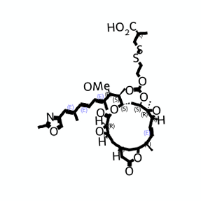 CO[C@@H](/C(C)=C/C=C/C(C)=C/c1coc(C)n1)[C@@H](C)[C@@H]1C[C@H](OC(=O)OCCSSC[C@H](C)C(=O)O)[C@@]2(C)O[C@@H]2/C=C/[C@@H](C)C2C[C@H](CC(=O)O2)C[C@@H]2O[C@H]2C(=O)O1